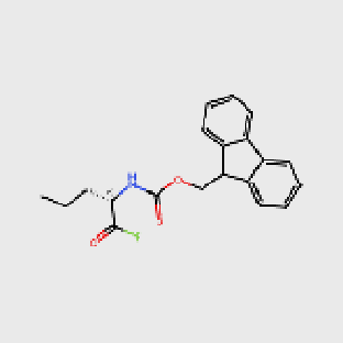 CCC[C@H](NC(=O)OCC1c2ccccc2-c2ccccc21)C(=O)F